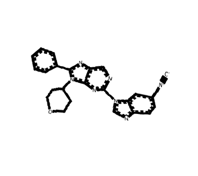 [C-]#[N+]c1ccc2ncn(-c3ncc4nc(-c5ccccc5)n(C5CCOCC5)c4n3)c2c1